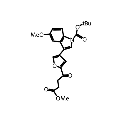 COC(=O)CCC(=O)c1cc(-c2cn(C(=O)OC(C)(C)C)c3ccc(OC)cc23)co1